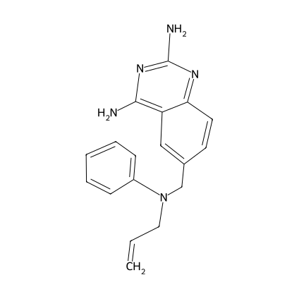 C=CCN(Cc1ccc2nc(N)nc(N)c2c1)c1ccccc1